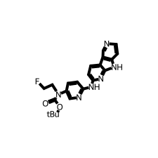 CC(C)(C)OC(=O)N(CCF)c1ccc(Nc2ccc3c(n2)[nH]c2ccncc23)nc1